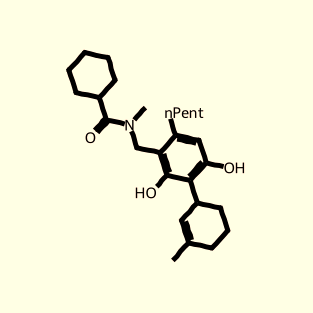 CCCCCc1cc(O)c(C2C=C(C)CCC2)c(O)c1CN(C)C(=O)C1CCCCC1